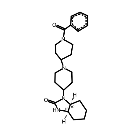 O=C(c1ccccc1)N1CCC(N2CCC(N3C(=O)N[C@@H]4CCCC[C@@H]43)CC2)CC1